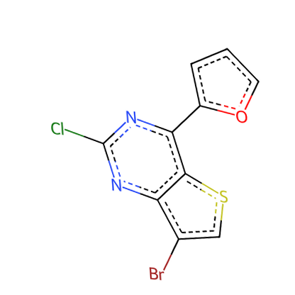 Clc1nc(-c2ccco2)c2scc(Br)c2n1